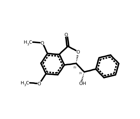 COc1cc(OC)c2c(c1)[C@@H]([C@@H](O)c1ccccc1)OC2=O